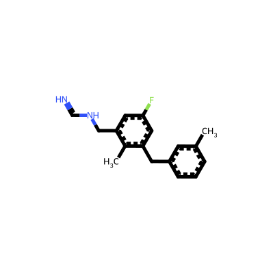 Cc1cccc(Cc2cc(F)cc(CNC=N)c2C)c1